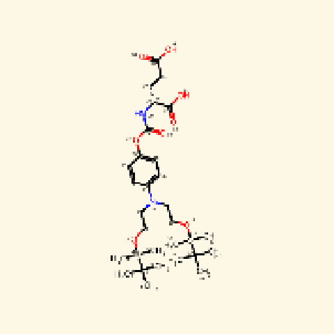 CC(C)(C)[Si](C)(C)OCCN(CCO[Si](C)(C)C(C)(C)C)c1ccc(OC(=O)N[C@H](CCC(=O)O)C(=O)O)cc1